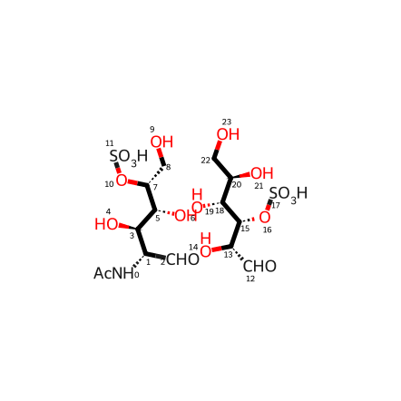 CC(=O)N[C@@H](C=O)[C@@H](O)[C@@H](O)[C@@H](CO)OS(=O)(=O)O.O=C[C@H](O)[C@@H](OS(=O)(=O)O)[C@H](O)[C@H](O)CO